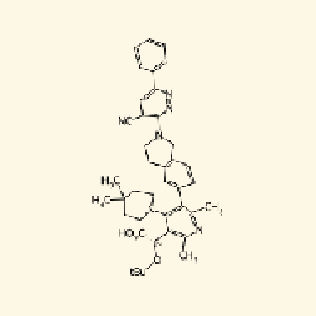 Cc1nc(C)c([C@H](OC(C)(C)C)C(=O)O)c(N2CCC(C)(C)CC2)c1-c1ccc2c(c1)CCN(c1nnc(-c3ccccc3)cc1C#N)C2